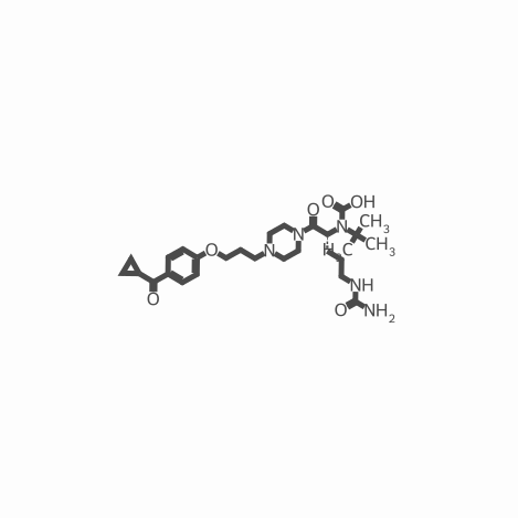 CC(C)(C)N(C(=O)O)[C@H](CCCNC(N)=O)C(=O)N1CCN(CCCOc2ccc(C(=O)C3CC3)cc2)CC1